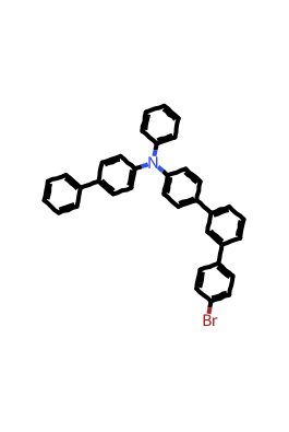 Brc1ccc(-c2cccc(-c3ccc(N(c4ccccc4)c4ccc(-c5ccccc5)cc4)cc3)c2)cc1